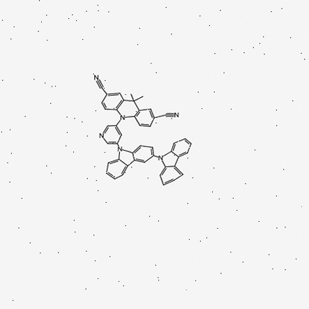 CC1(C)c2cc(C#N)ccc2N(c2cncc(-n3c4ccccc4c4cc(-n5c6ccccc6c6ccccc65)ccc43)c2)c2ccc(C#N)cc21